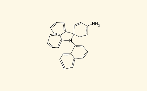 NC1=CCC(c2ccccc2)(N(c2ccccc2)c2cccc3ccccc23)C=C1